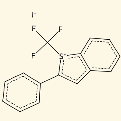 FC(F)(F)[s+]1c(-c2ccccc2)cc2ccccc21.[I-]